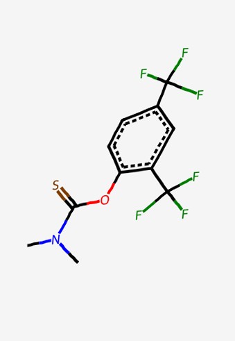 CN(C)C(=S)Oc1ccc(C(F)(F)F)cc1C(F)(F)F